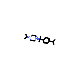 CC(C)c1ccc(C(C)(C)N2CCN(C(C)C)CC2)cc1